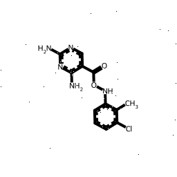 Cc1c(Cl)cccc1NOC(=O)c1cnc(N)nc1N